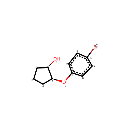 O[C@H]1CCC[C@@H]1Oc1ccc(Br)cc1